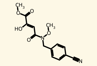 COC(=O)/C(O)=C/C(=O)N(Cc1ccc(C#N)cc1)OC